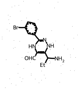 CCC(N)C1=C(C=O)NC(c2cccc(Br)c2)=NN1